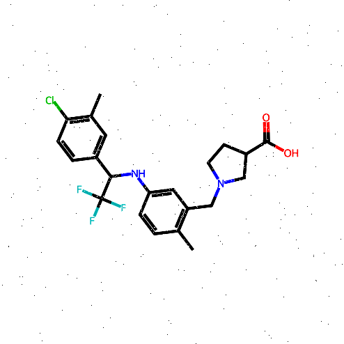 Cc1cc(C(Nc2ccc(C)c(CN3CCC(C(=O)O)C3)c2)C(F)(F)F)ccc1Cl